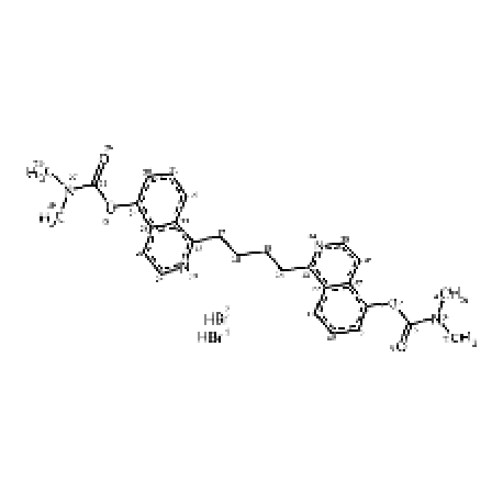 Br.Br.CN(C)C(=O)Oc1cccc2c(CCCCc3nccc4c(OC(=O)N(C)C)cccc34)nccc12